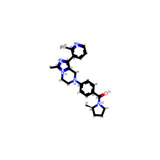 Cc1nc(-c2cccnc2C(C)C)c2n1CCN(c1ccc(C(=O)N3CCC[C@H]3C)cc1)C2